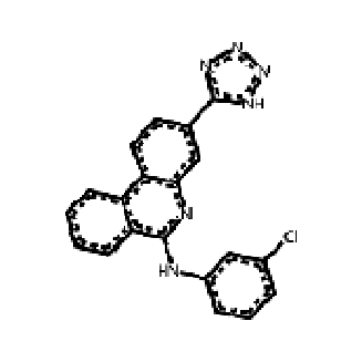 Clc1cccc(Nc2nc3cc(-c4nnn[nH]4)ccc3c3ccccc23)c1